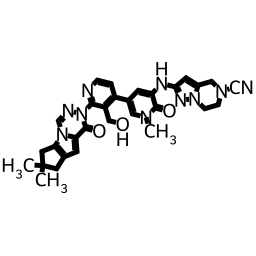 Cn1cc(-c2ccnc(-n3ncn4c5c(cc4c3=O)CC(C)(C)C5)c2CO)cc(Nc2cc3n(n2)CCN(C#N)C3)c1=O